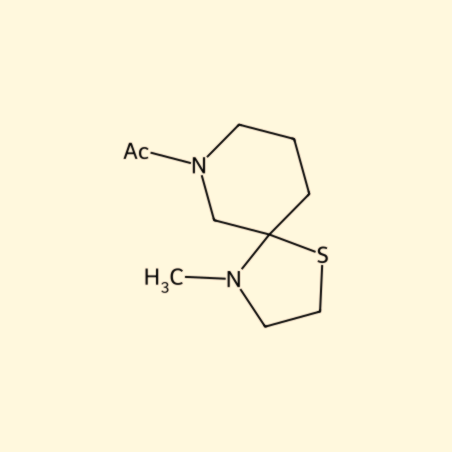 CC(=O)N1CCCC2(C1)SCCN2C